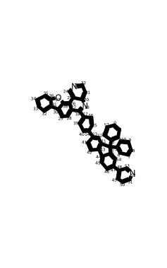 c1ccc(C2(c3ccccc3)c3cc(-c4ccc(-c5nc6ccncc6c6c5ccc5c7ccccc7oc56)cc4)ccc3-c3ccc(-c4cccnc4)cc32)cc1